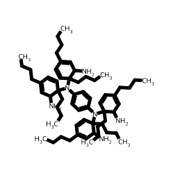 CCCCC1=CC(N)C(CCCC)(N(c2ccc(N(C3(CCCC)C=CC(CCCC)=CC3N)C3(CCCC)C=CC(CCCC)=CC3N)cc2)C2(CCCC)C=CC(CCCC)=CC2N)C=C1